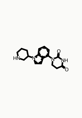 O=C1CCN(c2cccc3c2ccn3C2CCCNC2)C(=O)N1